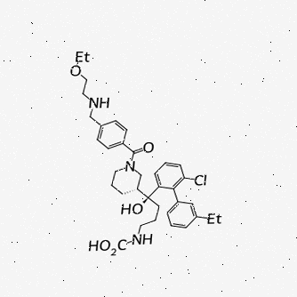 CCOCCNCc1ccc(C(=O)N2CCC[C@@H]([C@@](O)(CCCNC(=O)O)c3cccc(Cl)c3-c3cccc(CC)c3)C2)cc1